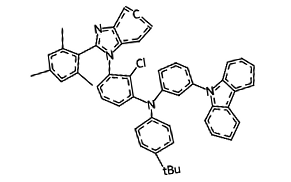 Cc1cc(C)c(-c2nc3ccccc3n2-c2cccc(N(c3ccc(C(C)(C)C)cc3)c3cccc(-n4c5ccccc5c5ccccc54)c3)c2Cl)c(C)c1